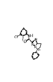 O=C(Nc1cccc(Cl)c1F)c1nc2n(n1)[C@H](c1ccccc1)CC2